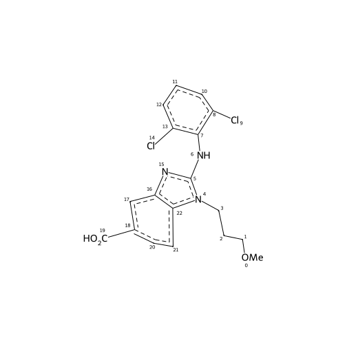 COCCCn1c(Nc2c(Cl)cccc2Cl)nc2cc(C(=O)O)ccc21